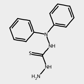 NNC(=S)NN(c1ccccc1)c1ccccc1